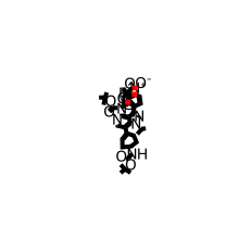 CC(C)n1nc(-c2ccc([N+](=O)[O-])c(F)c2)c2c(N(C(=O)OC(C)(C)C)C(=O)OC(C)(C)C)ncc(C3=CCC(NC(=O)OC(C)(C)C)CC3)c21